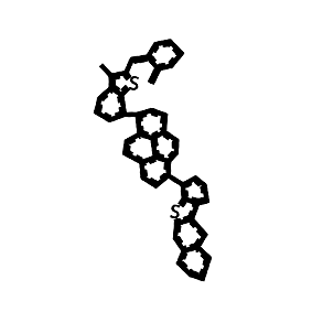 C=c1cccc/c1=C/c1sc2c(-c3ccc4ccc5c(-c6cccc7c6sc6cc8ccccc8cc67)ccc6ccc3c4c65)cccc2c1C